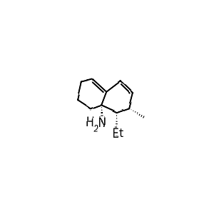 CC[C@H]1[C@@H](C)C=CC2=CCCC[C@@]21N